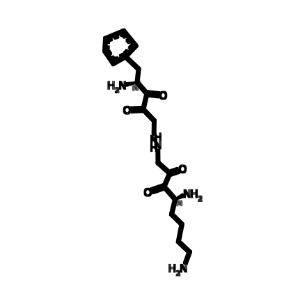 NCCCC[C@H](N)C(=O)C(=O)CNNCC(=O)C(=O)[C@@H](N)Cc1ccccc1